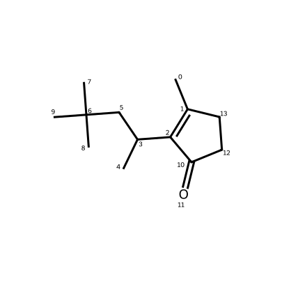 CC1=C(C(C)CC(C)(C)C)C(=O)CC1